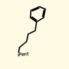 CCCC(C)CCCCc1ccccc1